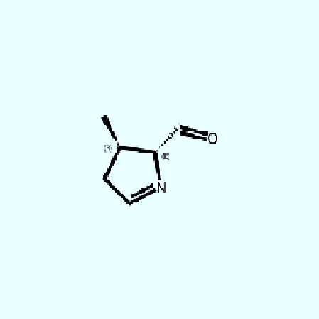 C[C@@H]1CC=N[C@H]1[C]=O